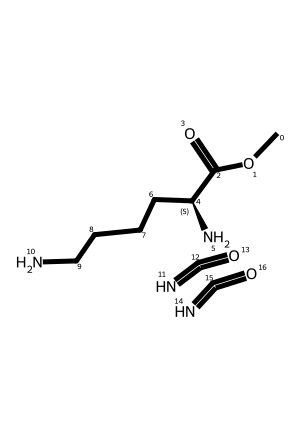 COC(=O)[C@@H](N)CCCCN.N=C=O.N=C=O